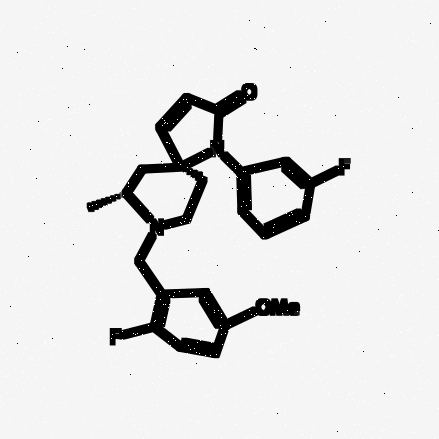 COc1ccc(F)c(CN2CC[C@@]3(C=CC(=O)N3c3cccc(F)c3)C[C@H]2C)c1